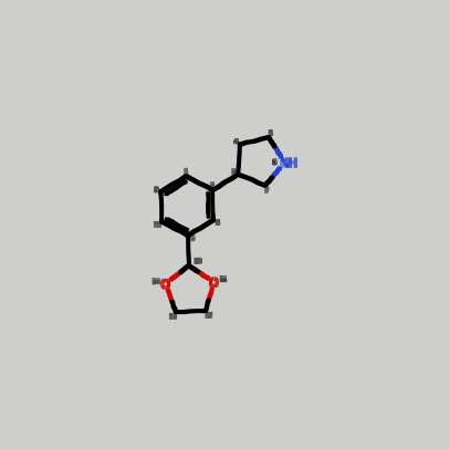 c1cc(C2CCNC2)cc(C2OCCO2)c1